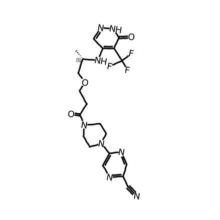 C[C@@H](COCCC(=O)N1CCN(c2cnc(C#N)cn2)CC1)Nc1cn[nH]c(=O)c1C(F)(F)F